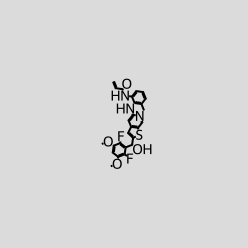 C=CC(=O)Nc1cccc(C)c1Nc1cc2cc(C(O)c3c(F)c(OC)cc(OC)c3F)sc2cn1